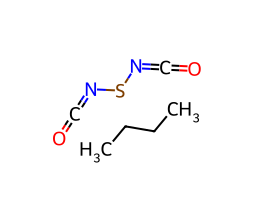 CCCC.O=C=NSN=C=O